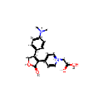 CN(C)c1ccc(C2=C(c3cc[n+](CC(=O)O)cc3)C(=O)OC2)cc1